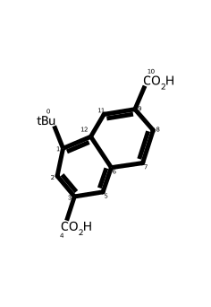 CC(C)(C)c1cc(C(=O)O)cc2ccc(C(=O)O)cc12